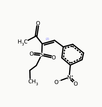 CCCS(=O)(=O)/C(=C\c1cccc([N+](=O)[O-])c1)C(C)=O